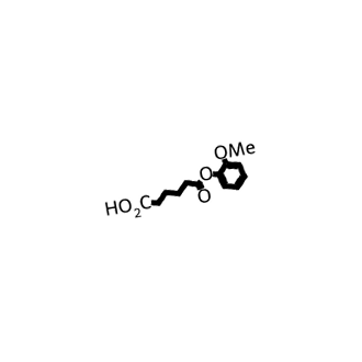 COc1ccccc1OC(=O)CCCCC(=O)O